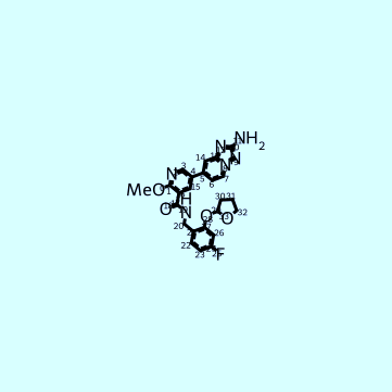 COc1ncc(-c2ccn3nc(N)nc3c2)cc1C(=O)NCc1ccc(F)cc1OC1CCCO1